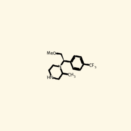 COC[C@@H](c1ccc(C(F)(F)F)cc1)N1CCNCC1C